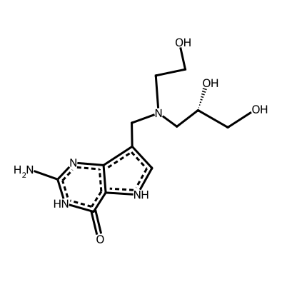 Nc1nc2c(CN(CCO)C[C@H](O)CO)c[nH]c2c(=O)[nH]1